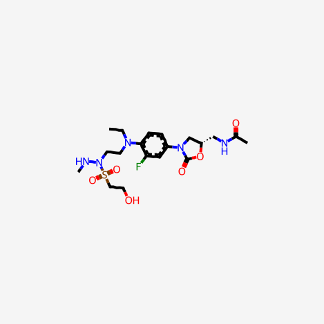 CCN(CCN(NC)S(=O)(=O)CCO)c1ccc(N2C[C@H](CNC(C)=O)OC2=O)cc1F